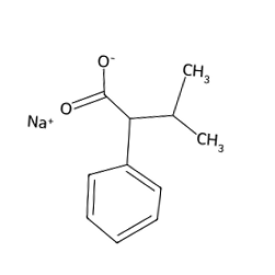 CC(C)C(C(=O)[O-])c1ccccc1.[Na+]